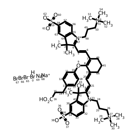 Br.CC1(C)C(/C=C/C2=C(Oc3ccc(CCC(=O)O)cc3)C(=C/C=C3/N(CCC[N+](C)(C)C)c4ccc(S(=O)(=O)[O-])cc4C3(C)C)/CCC2)=[N+](CCC[N+](C)(C)C)c2ccc(S(=O)(=O)[O-])cc21.[Br-].[Br-].[Br-].[Na+].[Na+]